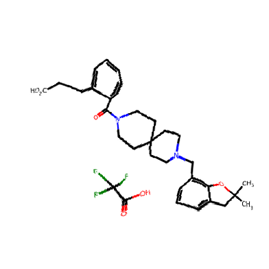 CC1(C)Cc2cccc(CN3CCC4(CC3)CCN(C(=O)c3ccccc3CCC(=O)O)CC4)c2O1.O=C(O)C(F)(F)F